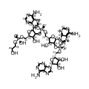 Nc1ncnc2c1ncn2[C@@H]1O[C@H](COP(O)(=S)OC2C(O)[C@@H](COP(O)(=S)OC3C(O)[C@@H](COP(=O)(O)OCCO)O[C@H]3n3cnc4c(N)ncnc43)O[C@H]2n2cnc3c(N)ncnc32)C(O)C1O